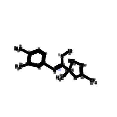 CCS/C(=N\c1ccc(C)c(C(F)(F)F)c1)[C@@]1(C)CC(C(F)(F)F)=NN1